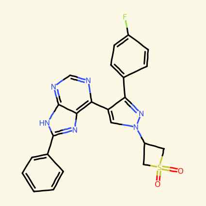 O=S1(=O)CC(n2cc(-c3ncnc4[nH]c(-c5ccccc5)nc34)c(-c3ccc(F)cc3)n2)C1